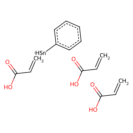 C=CC(=O)O.C=CC(=O)O.C=CC(=O)O.[SnH][c]1ccccc1